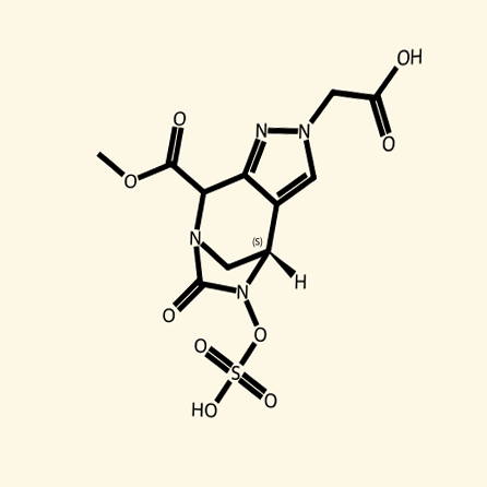 COC(=O)C1c2nn(CC(=O)O)cc2[C@H]2CN1C(=O)N2OS(=O)(=O)O